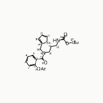 CC(=O)Oc1ccccc1C(=O)N(CCCNC(=O)OC(C)(C)C)Cc1cccs1